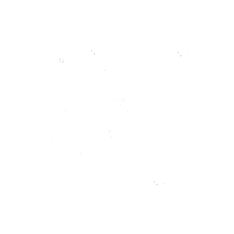 O=[N+]([O-])c1ccc(Oc2ccc([N+](=O)[O-])cc2)cc1.OC(c1cncnc1)c1ccc(Cl)cc1Cl